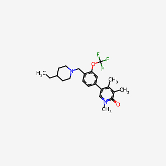 CCC1CCN(Cc2ccc(-c3cn(C)c(=O)c(C)c3C)cc2OC(F)(F)F)CC1